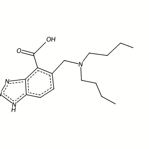 CCCCN(CCCC)Cc1ccc2[nH]nnc2c1C(=O)O